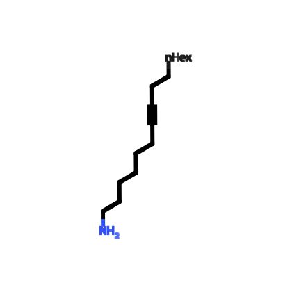 CCCCCCCCC#CCCCCCCN